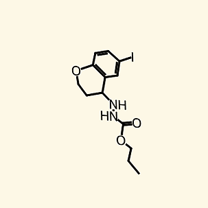 CCCOC(=O)NNC1CCOc2ccc(I)cc21